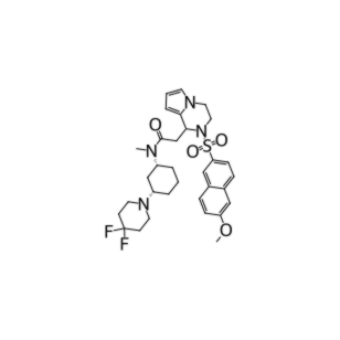 COc1ccc2cc(S(=O)(=O)N3CCn4cccc4C3CC(=O)N(C)[C@@H]3CCC[C@H](N4CCC(F)(F)CC4)C3)ccc2c1